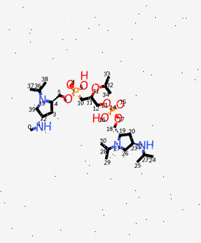 CN[C@H]1C[C@H](COP(=O)(O)CC(COP(=O)(O)OC[C@@H]2C[C@@H](NC(C)C)CN2C(C)C)OC(C)C)N(C(C)C)C1